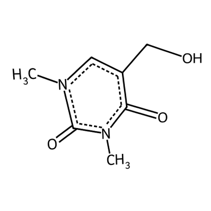 Cn1cc(CO)c(=O)n(C)c1=O